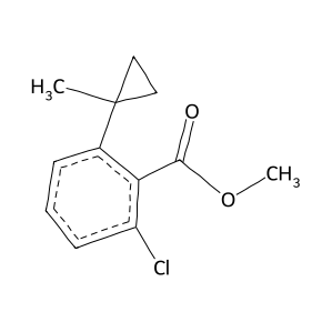 COC(=O)c1c(Cl)cccc1C1(C)CC1